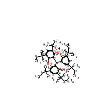 CCC(C)(C)c1cc(C(c2cc(C(C)(C)CC)cc(C(C)(C)CC)c2O)c2cc(C(C)(C)CC)cc(C(C)(C)CC)c2O)c(O)c(C(C)(C)CC)c1